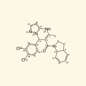 CC1=C(C(=O)N2CCC3C=CC=CC32)C(c2ccc(Cl)c(Cl)c2)n2nccc2N1